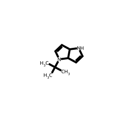 CC(C)(C)N1C=CC2NC=CC21